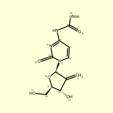 C=C1[C@H](n2ccc(NC(=O)CCCCCCCCC)nc2=O)O[C@H](CO)[C@H]1O